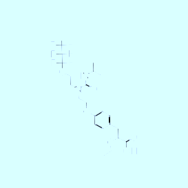 CCOC(Cc1ccc(OCCN(CCOC(F)(F)C(F)(F)C(F)(F)F)C(=O)NC(C)C)cc1)C(=O)O